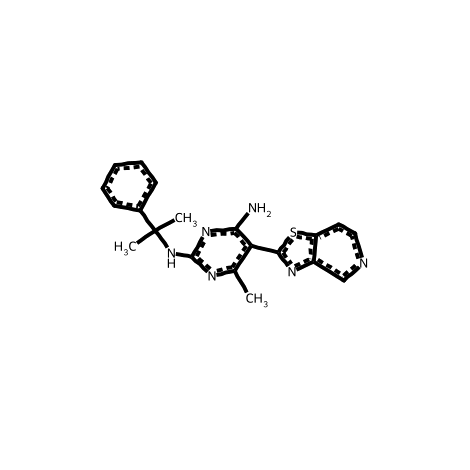 Cc1nc(NC(C)(C)c2ccccc2)nc(N)c1-c1nc2cnccc2s1